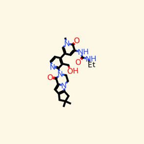 CCNC(=O)Nc1cc(-c2ccnc(N3CCn4c(cc5c4CC(C)(C)C5)C3=O)c2CO)cn(C)c1=O